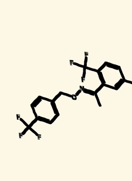 C/C(=N\OCc1ccc(C(F)(F)F)cc1)c1cc(Cl)ccc1C(F)(F)F